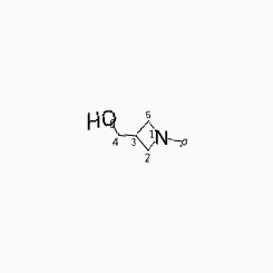 [CH2]N1CC(CO)C1